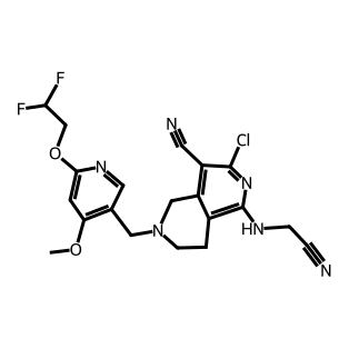 COc1cc(OCC(F)F)ncc1CN1CCc2c(NCC#N)nc(Cl)c(C#N)c2C1